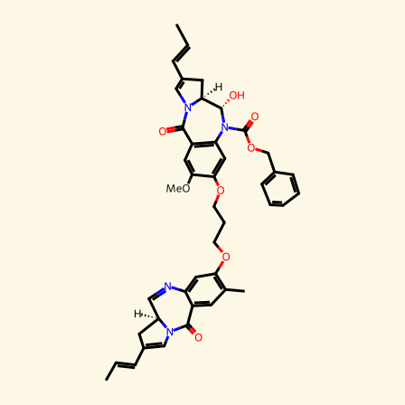 C/C=C/C1=CN2C(=O)c3cc(C)c(OCCCOc4cc5c(cc4OC)C(=O)N4C=C(/C=C/C)C[C@H]4[C@H](O)N5C(=O)OCc4ccccc4)cc3N=C[C@@H]2C1